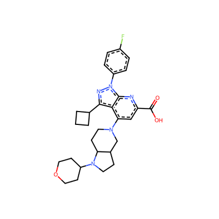 O=C(O)c1cc(N2CCC3C(CCN3C3CCOCC3)C2)c2c(C3CCC3)nn(-c3ccc(F)cc3)c2n1